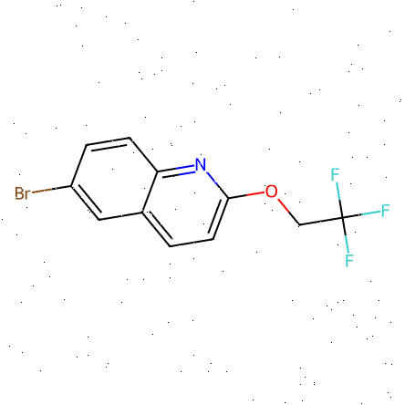 FC(F)(F)COc1ccc2cc(Br)ccc2n1